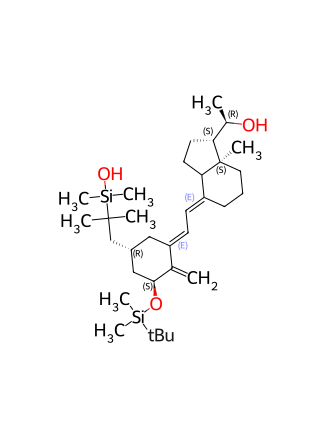 C=C1/C(=C/C=C2\CCC[C@@]3(C)C2CC[C@@H]3[C@@H](C)O)C[C@@H](CC(C)(C)[Si](C)(C)O)C[C@@H]1O[Si](C)(C)C(C)(C)C